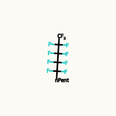 [CH2]CCCCC(F)(F)C(F)(F)C(F)(F)C(F)(F)C(F)(F)F